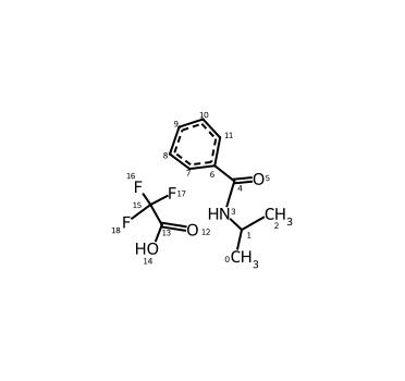 CC(C)NC(=O)c1ccccc1.O=C(O)C(F)(F)F